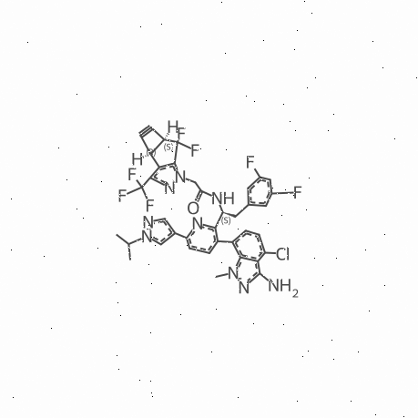 CC(C)n1cc(-c2ccc(-c3ccc(Cl)c4c(N)nn(C)c34)c([C@H](Cc3cc(F)cc(F)c3)NC(=O)Cn3nc(C(F)(F)F)c4c3C(F)(F)[C@@H]3C#C[C@H]43)n2)cn1